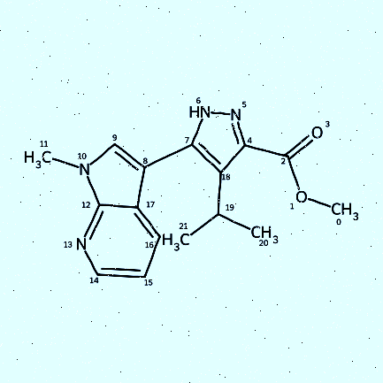 COC(=O)c1n[nH]c(-c2cn(C)c3ncccc23)c1C(C)C